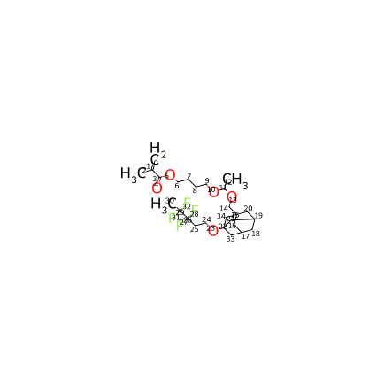 C=C(C)C(=O)OCCCCOC(C)OCC12CC3CC(C1)CC(OCCC(F)(F)C(C)(F)F)(C3)C2